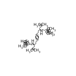 CO[Si](CCCNC(CCCN1C=CN(CCCC(CCN(C)C)NCCC[Si](OC)(OC)OC)C=C1)CCN(C)C)(OC)OC